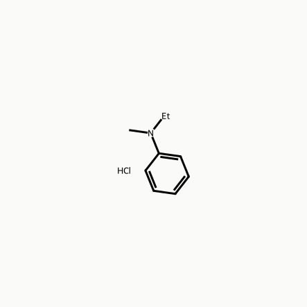 CCN(C)c1ccccc1.Cl